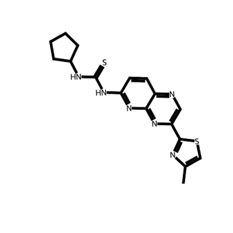 Cc1csc(-c2cnc3ccc(NC(=S)NC4CCCC4)nc3n2)n1